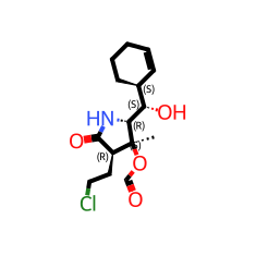 C[C@@]1(OC=O)[C@@H]([C@@H](O)[C@@H]2C=CCCC2)NC(=O)[C@@H]1CCCl